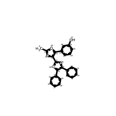 Cc1nc(-c2nc(-c3ccccc3)c(-c3ccccc3)o2)c(-c2cccc(O)c2)o1